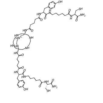 NC(=O)C(CS)NC(=O)CCCCCNC(=O)C(Cc1ccc(O)cc1)NC(=O)CCCC(=O)N[C@]12CNCCNC[C@](NC(=O)CCCC(=O)NC(Cc3ccc(O)cc3)C(=O)NCCCCCC(=O)N[C@@H](CS)C(N)=O)(CNCCNC1)NCCNC2